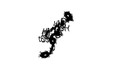 CC(C)(C)OC(=O)NCCCCC(NC(=O)OCc1ccccc1)C(O)c1noc(Cc2ccc(OCCc3ccccc3)cc2)n1